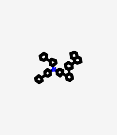 c1ccc(-c2ccc(N(c3ccc(-c4ccccc4-c4cccc(-c5cccc6ccccc56)c4)cc3)c3cccc(-c4ccccc4)c3)cc2)cc1